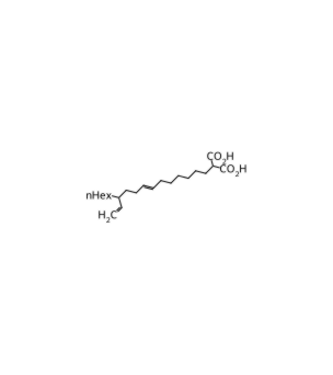 C=CC(CCC=CCCCCCCC(C(=O)O)C(=O)O)CCCCCC